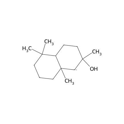 CC1(O)[CH]C2(C)CCCC(C)(C)C2CC1